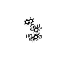 CC1(C(=O)OCc2cccc3ccccc23)CCC(Oc2cc(C(=O)O)c(F)cc2Cl)CC1